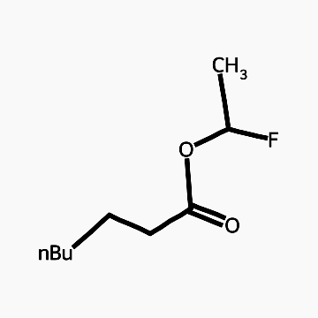 CCCCCCC(=O)OC(C)F